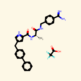 C[C@H](NC(=O)c1cc(Cc2ccc(-c3ccccc3)cc2)c[nH]1)C(=O)NCc1ccc(C(=N)N)cc1.O=C(O)C(F)(F)F